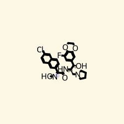 O=C(N[C@H](CN1CCCC1)[C@H](O)c1cc(F)c2c(c1)OCCO2)/C(=N/O)c1ccc2cc(Cl)ccc2c1